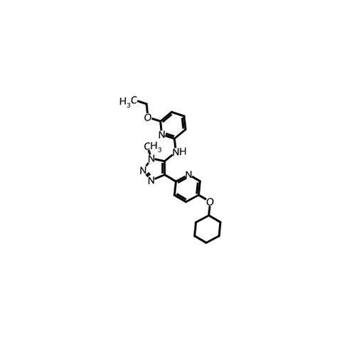 CCOc1cccc(Nc2c(-c3ccc(OC4CCCCC4)cn3)nnn2C)n1